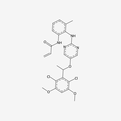 C=CC(=O)Nc1cccc(C)c1Nc1ncc(OC(C)c2c(Cl)c(OC)cc(OC)c2Cl)cn1